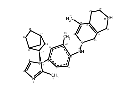 CC1=NC=C[N+]1(c1ccc(NN2C=C(N)C3=C(CNCC3)C2)c(C)c1)[C@@H]1CC2CCC1C2